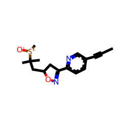 CC#Cc1ccc(C2=NOC(CC(C)(C)[S+](C)[O-])C2)nc1